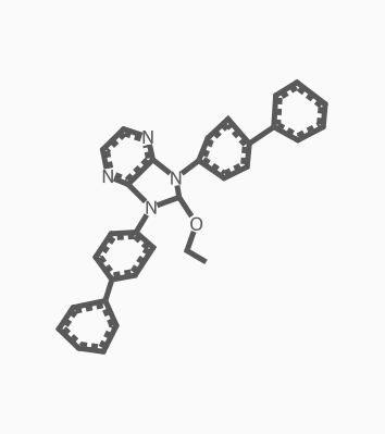 CCOC1N(c2ccc(-c3ccccc3)cc2)c2nccnc2N1c1ccc(-c2ccccc2)cc1